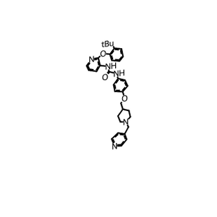 CC(C)(C)c1ccccc1Oc1ncccc1NC(=O)Nc1ccc(OCC2CCN(Cc3ccncc3)CC2)cc1